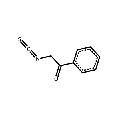 O=C(CN=C=S)c1ccccc1